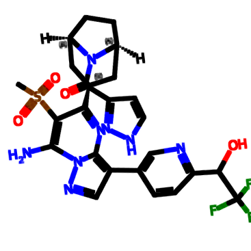 CS(=O)(=O)c1c([C@H]2C[C@H]3CC[C@@H](C2)N3C(=O)c2cc[nH]n2)nc2c(-c3ccc(C(O)C(F)(F)F)nc3)cnn2c1N